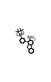 CC1(C)OB(c2cccc(-c3c(N)ccc4c3Cc3ccccc3-4)c2)OC1(C)C